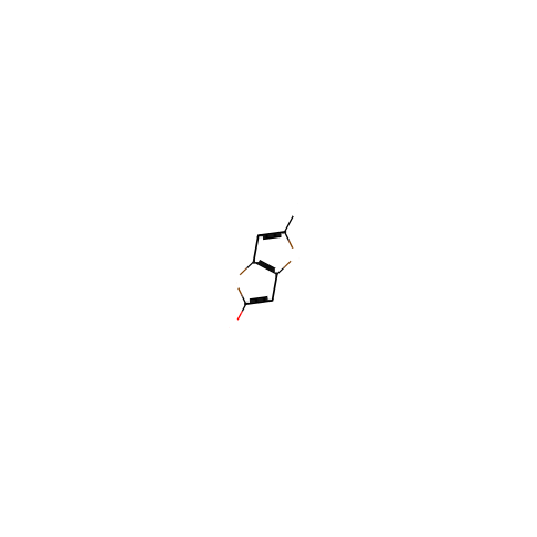 Cc1cc2sc(O)cc2s1